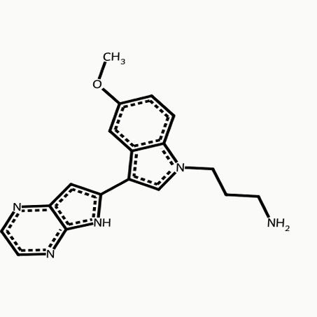 COc1ccc2c(c1)c(-c1cc3nccnc3[nH]1)cn2CCCN